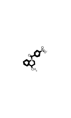 CC1CCN(C(=O)c2ccc([N+](=O)[O-])cc2)c2ccccc21